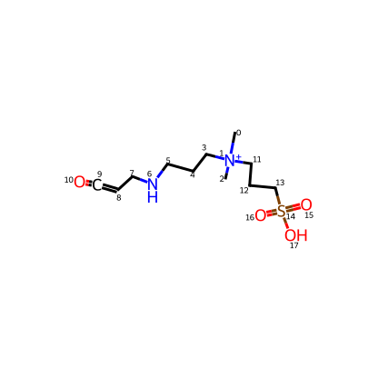 C[N+](C)(CCCNCC=C=O)CCCS(=O)(=O)O